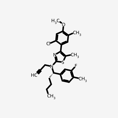 C#CCN(c1nc(-c2cc(C)c(OC)cc2Cl)c(C)s1)[C@@H](CCCC)c1ccc(C)c(F)c1